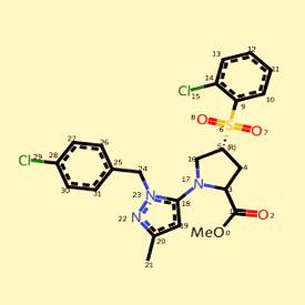 COC(=O)C1C[C@@H](S(=O)(=O)c2ccccc2Cl)CN1c1cc(C)nn1Cc1ccc(Cl)cc1